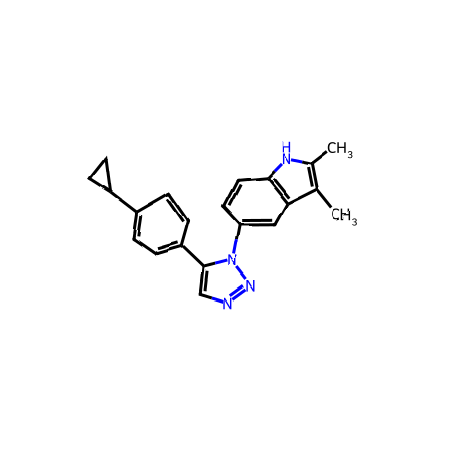 Cc1[nH]c2ccc(-n3nncc3-c3ccc(C4CC4)cc3)cc2c1C